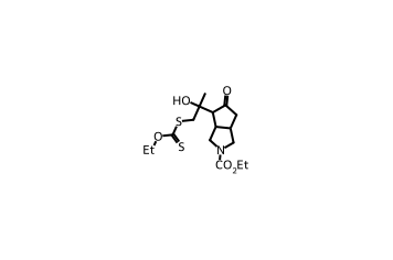 CCOC(=O)N1CC2CC(=O)C(C(C)(O)CSC(=S)OCC)C2C1